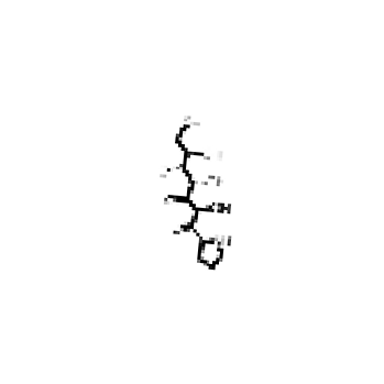 O=C(C(O)C(=O)[C@@H](O)[C@H](O)[C@H](O)CO)[C@@H]1CCCN1